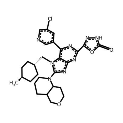 C[C@H]1CC[C@H](Cn2c(N3CCCC4COCCC43)nc3nc(-c4n[nH]c(=O)o4)nc(-c4cncc(Cl)c4)c32)CC1